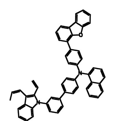 C=Cc1c(/C=C\C)c2ccccc2n1-c1cccc(-c2ccc(N(c3ccc(-c4cccc5c4oc4ccccc45)cc3)c3cccc4ccccc34)cc2)c1